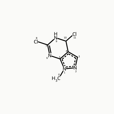 Cn1ncc2c1N=C(Cl)NC2Cl